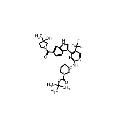 CC1(O)CCN(C(=O)c2ccc3c(-c4nc(N[C@H]5CCCN(C(=O)OC(C)(C)C)C5)ncc4C(F)(F)F)c[nH]c3c2)C1